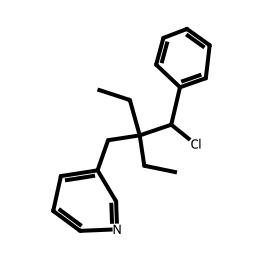 CCC(CC)(Cc1cccnc1)C(Cl)c1ccccc1